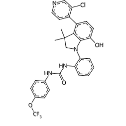 CC1(C)CN(c2ccccc2NC(=O)Nc2ccc(OC(F)(F)F)cc2)c2c(O)ccc(-c3ccncc3Cl)c21